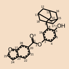 O=C(Oc1ccc(O)c(C23CC4CC(CC(C4)C2)C3)c1)c1ccc2ccoc2c1